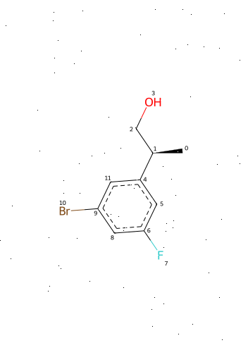 C[C@H](CO)c1cc(F)cc(Br)c1